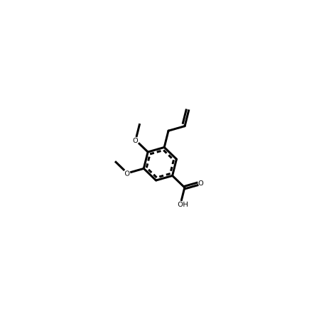 C=CCc1cc(C(=O)O)cc(OC)c1OC